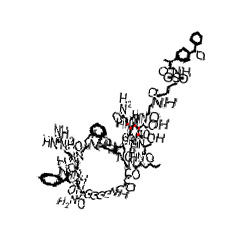 CCCC[C@H](NC(=O)C(CO)NC(=O)[C@H](Cc1c[nH]cn1)NC(=O)[C@H](CCC(N)=O)NC(=O)C(CO)NC(=O)CNC(=O)CCCS(=O)(=O)NC(=O)C(C)c1ccc(C(=O)c2ccccc2)cc1)C(=O)N[C@H]1CCC(=O)CNCCCC[C@@H](C(N)=O)NC(=O)[C@H](Cc2c[nH]c3ccccc23)NC(=O)[C@H](CCCNC(=N)N)NC(=O)[C@@H](Cc2ccccc2)NC(=O)[C@@H]2C[C@@H](O)CN2C1=O